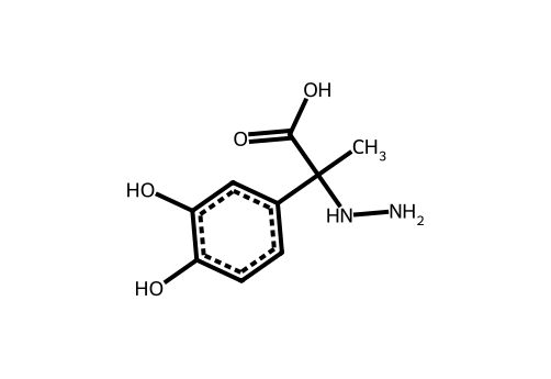 CC(NN)(C(=O)O)c1ccc(O)c(O)c1